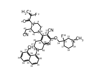 C=C(F)C(=O)N1CCN(c2c(C#N)c(OCC3(F)CCCN(C)C3)nc3c2CCN(c2cccc4cccc(C)c24)C3)CC1CC#N